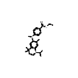 CCOC(=O)c1ccc(N(C)c2cc3c(cc2C)N(C(C)C)CCC3(C)C)cc1